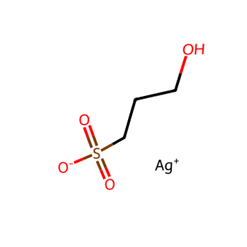 O=S(=O)([O-])CCCO.[Ag+]